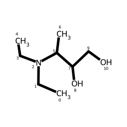 CCN(CC)C(C)C(O)CO